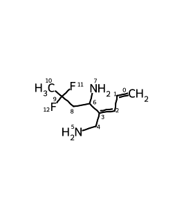 C=C/C=C(/CN)C(N)CC(C)(F)F